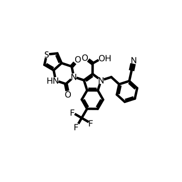 N#Cc1ccccc1Cn1c(C(=O)O)c(-n2c(=O)[nH]c3cscc3c2=O)c2cc(C(F)(F)F)ccc21